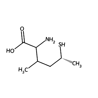 CC(C[C@@H](C)S)C(N)C(=O)O